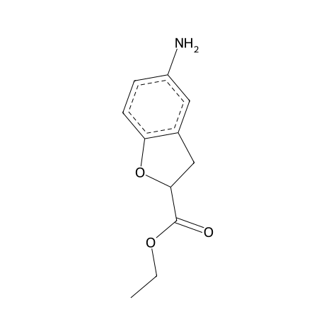 CCOC(=O)C1Cc2cc(N)ccc2O1